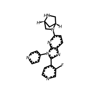 Fc1cnccc1-c1nc2ccc(N3C[C@H]4C[C@@H]3CN4)nc2n1-c1ccncc1